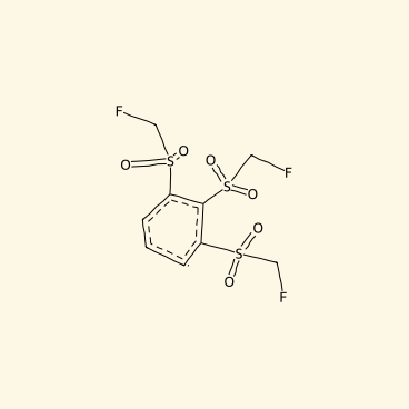 O=S(=O)(CF)c1[c]ccc(S(=O)(=O)CF)c1S(=O)(=O)CF